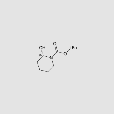 CC(C)(C)OC(=O)N1CCCC[C@@H]1O